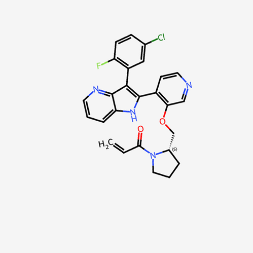 C=CC(=O)N1CCC[C@H]1COc1cnccc1-c1[nH]c2cccnc2c1-c1cc(Cl)ccc1F